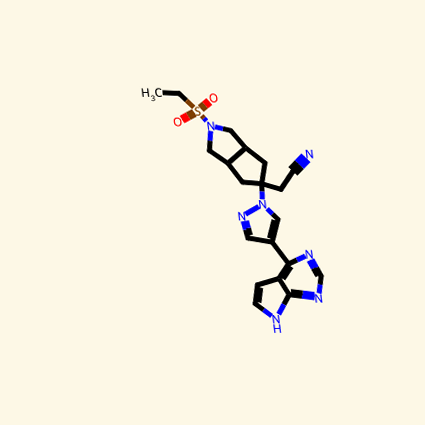 CCS(=O)(=O)N1CC2CC(CC#N)(n3cc(-c4ncnc5[nH]ccc45)cn3)CC2C1